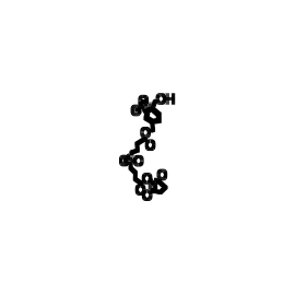 O=C(CCCS(=O)(=O)CCCC(=O)ON1C(=O)CCC1=O)OCc1ccc(CO)c([N+](=O)[O-])c1